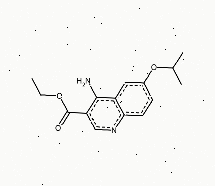 CCOC(=O)c1cnc2ccc(OC(C)C)cc2c1N